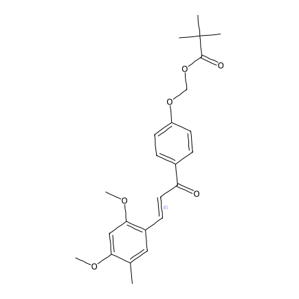 COc1cc(OC)c(/C=C/C(=O)c2ccc(OCOC(=O)C(C)(C)C)cc2)cc1C